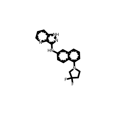 FC1(F)CCN(c2cccc3cc(Nc4n[nH]c5cccnc45)ccc23)C1